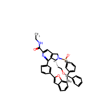 CC(C)(C)[S@@+]([O-])N1Cc2cc(C(=O)NCC(F)(F)F)nc(-c3cccc(-c4cc5ccccc5o4)c3)c2[C@H]1CCO[Si](c1ccccc1)(c1ccccc1)C(C)(C)C